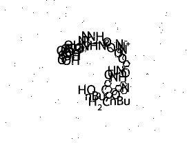 C=c1c(CCCC)cc2c(c1CCCC)Oc1c(cc3c4c1CCCN4CCC3)C=2c1cc(C(=O)NCCNC(=O)c2cccc(OCC(N=[N+]=[N-])OCCOCC(=O)NCC#Cc3cn([C@H]4CC[C@@H](COP(=O)(O)OP(=O)(O)OP(=O)(O)O)O4)c4ncnc(N)c34)c2)ccc1C(=O)O